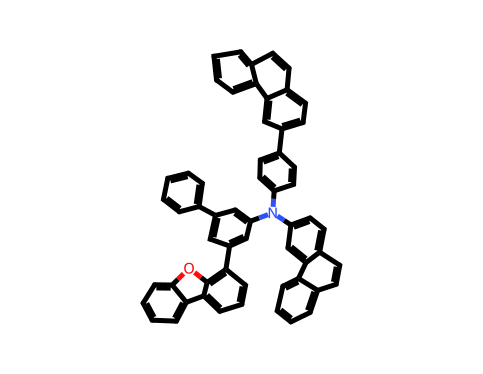 c1ccc(-c2cc(-c3cccc4c3oc3ccccc34)cc(N(c3ccc(-c4ccc5ccc6ccccc6c5c4)cc3)c3ccc4ccc5ccccc5c4c3)c2)cc1